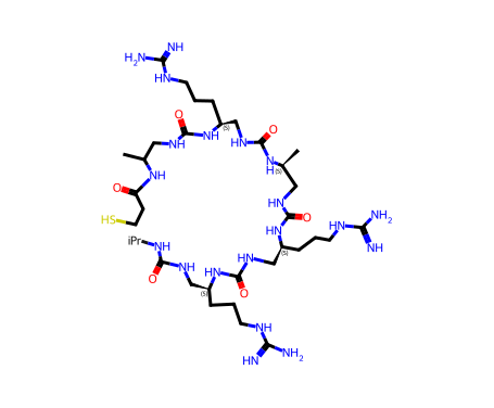 CC(C)NC(=O)NC[C@H](CCCNC(=N)N)NC(=O)NC[C@H](CCCNC(=N)N)NC(=O)NC[C@H](C)NC(=O)NC[C@H](CCCNC(=N)N)NC(=O)NCC(C)NC(=O)CCS